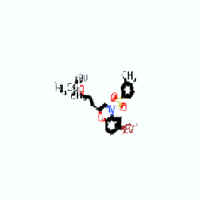 Cc1cccc(S(=O)(=O)N2C[C@H](CCCO[Si](C)(C)C(C)(C)C)Oc3ccc(Br)cc32)c1